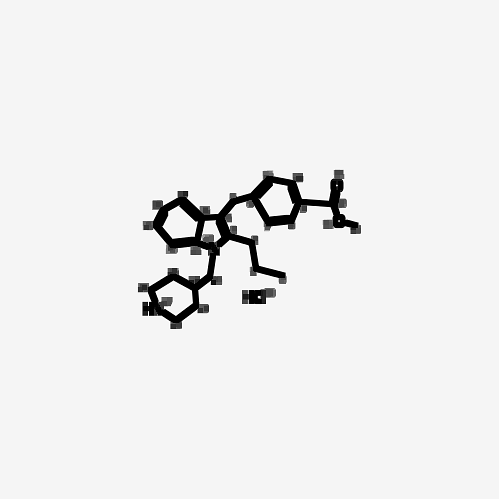 CCCc1c(Cc2ccc(C(=O)OC)cc2)c2ccccc2n1CC1CCNCC1.Cl